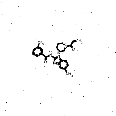 C=CC(=O)N1CCC[C@@H](n2c(NC(=O)c3cccc(C(F)(F)F)c3)nc3cc(C)ccc32)C1